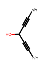 CCCC#CC(O)C#CCCC